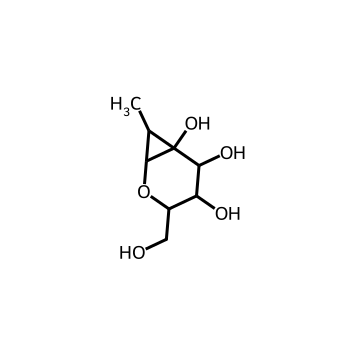 CC1C2OC(CO)C(O)C(O)C12O